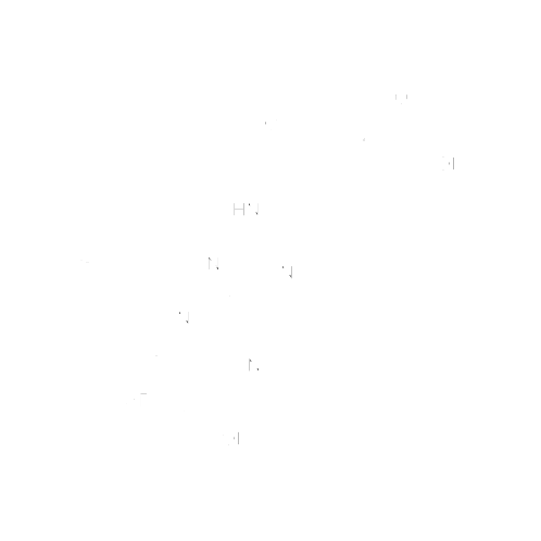 COc1cc(C(=O)O)ccc1NC1=NC2C(C=N1)N(C)C(O)C(F)(F)CN2C1CCCC1